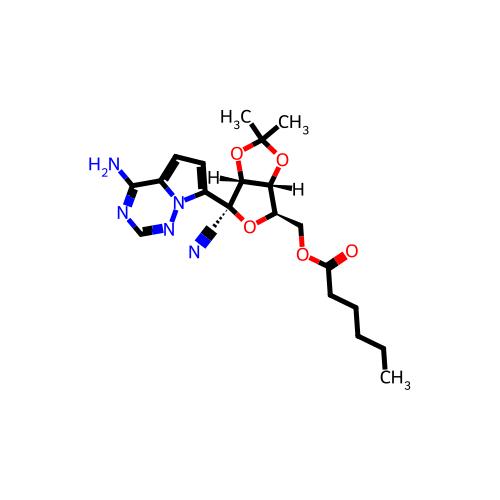 CCCCCC(=O)OC[C@H]1O[C@@](C#N)(c2ccc3c(N)ncnn23)[C@@H]2OC(C)(C)O[C@@H]21